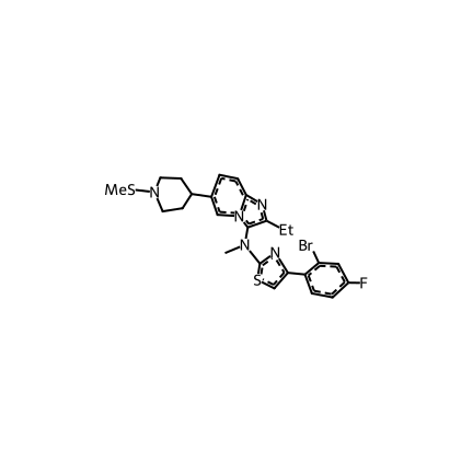 CCc1nc2ccc(C3CCN(SC)CC3)cn2c1N(C)c1nc(-c2ccc(F)cc2Br)cs1